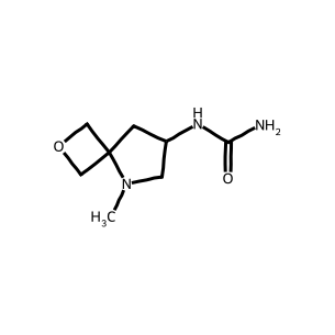 CN1CC(NC(N)=O)CC12COC2